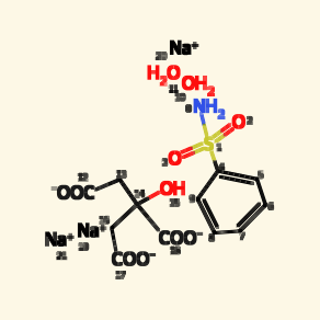 NS(=O)(=O)c1ccccc1.O.O.O=C([O-])CC(O)(CC(=O)[O-])C(=O)[O-].[Na+].[Na+].[Na+]